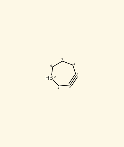 B1CC#CCCC1